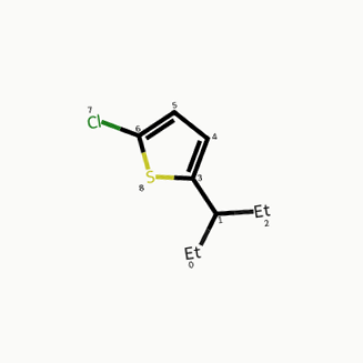 CCC(CC)c1ccc(Cl)s1